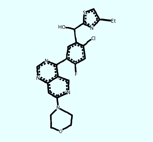 CCc1csc(C(O)c2cc(-c3ncnc4cc(N5CCOCC5)ncc34)c(F)cc2Cl)n1